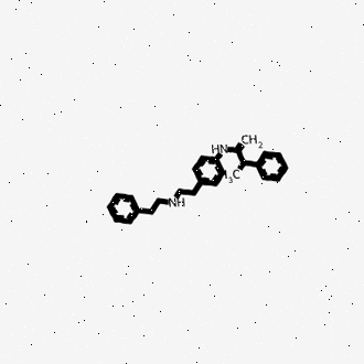 C=C(Nc1ccc(CCNCCc2ccccc2)cc1)C(C)c1ccccc1